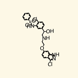 O=S(=O)(Nc1cc([C@@H](O)CNCCOc2ccc3c(Cl)n[nH]c3c2)ccc1Cl)c1ccccc1